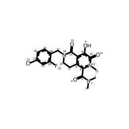 CN(C)C(=O)c1c2c(c(O)c(=O)n1C)C(=O)N(Cc1ccc(Cl)cc1F)CC2